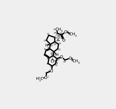 COCOC1CC2=CC=C3[C@@H]4CC[C@H](C(C)C(=O)OC)[C@@]4(C)CC[C@@H]3[C@@]2(C)C(OCOC)C1